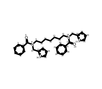 O=C(c1ccccc1)N(CCCCCCCN(Cc1cccs1)C(=O)c1ccccc1)Cc1cccs1